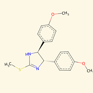 COc1ccc([C@@H]2N=C(SC)N[C@H]2c2ccc(OC)cc2)cc1